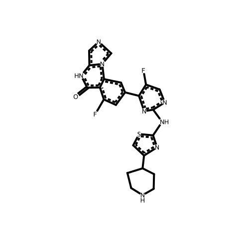 O=c1[nH]c2cncn2c2cc(-c3nc(Nc4nc(C5CCNCC5)cs4)ncc3F)cc(F)c12